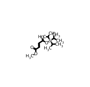 COC(=O)C=CC(=O)O[Si](C(C)C)(C(C)C)C(C)C